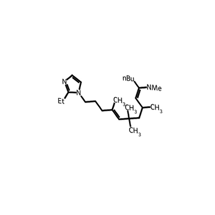 CCCC/C(=C/C(C)CC(C)(C)/C=C(\C)CCCn1ccnc1CC)NC